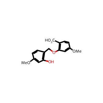 COc1ccc(COc2cc(OC)ccc2C(=O)O)c(O)c1